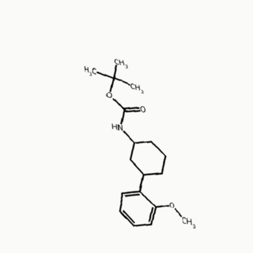 COc1ccccc1C1CCCC(NC(=O)OC(C)(C)C)C1